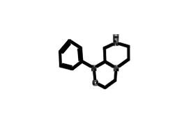 c1ccc(N2OCCN3CCNCC32)cc1